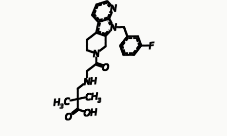 CC(C)(CNCC(=O)N1CCc2c(n(Cc3cccc(F)c3)c3ncccc23)C1)C(=O)O